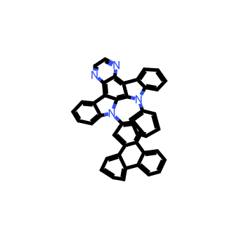 c1ccc(-n2c3ccccc3c3c4nccnc4c4c5ccccc5n(-c5ccc6c7ccccc7c7ccccc7c6c5)c4c32)cc1